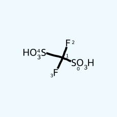 O=S(=O)(O)C(F)(F)S(=O)(=O)O